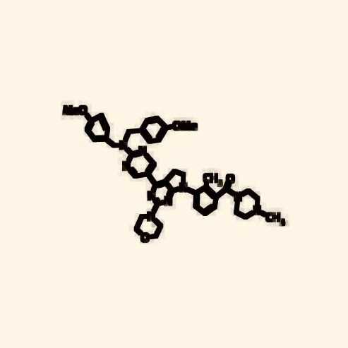 COc1ccc(CN(Cc2ccc(OC)cc2)c2ncc(-c3nc(N4CCOCC4)nc4c3CCN4c3cccc(C(=O)N4CCN(C)CC4)c3C)cn2)cc1